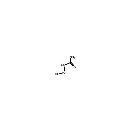 NC(=O)NOO